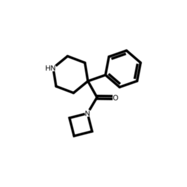 O=C(N1CCC1)C1(c2ccccc2)CCNCC1